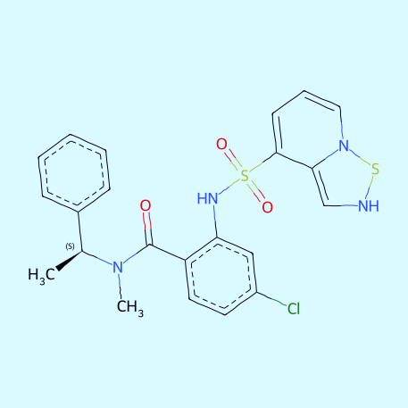 C[C@@H](c1ccccc1)N(C)C(=O)c1ccc(Cl)cc1NS(=O)(=O)C1=CC=CN2SNC=C12